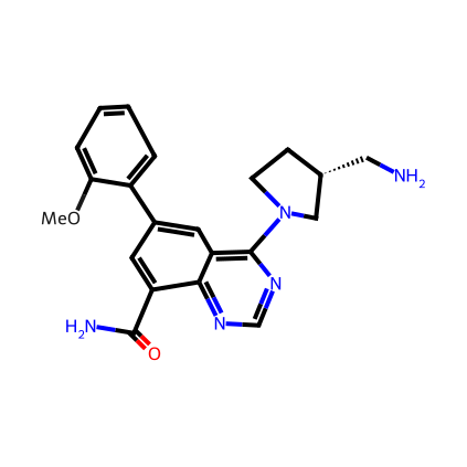 COc1ccccc1-c1cc(C(N)=O)c2ncnc(N3CC[C@H](CN)C3)c2c1